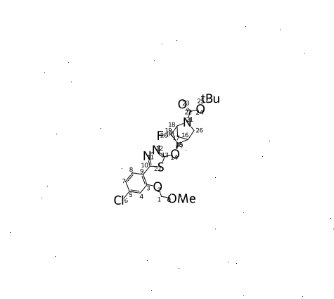 COCOc1cc(Cl)ccc1-c1nnc(O[C@@H]2C3CC([C@H]2F)N(C(=O)OC(C)(C)C)C3)s1